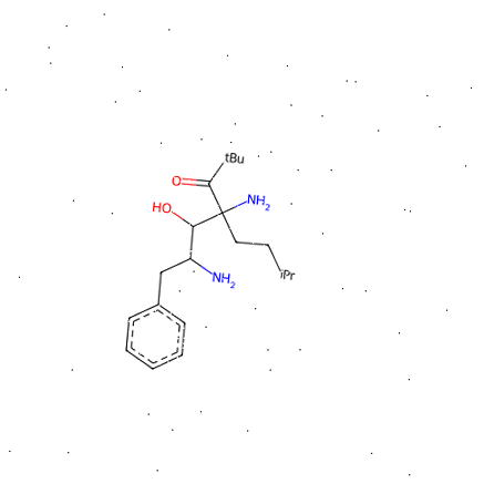 CC(C)CCC(N)(C(=O)C(C)(C)C)C(O)C(N)Cc1ccccc1